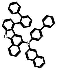 c1ccc(-c2ccc(N(c3ccc4ccccc4c3)c3cc4c(oc5cccc(-c6ccccc6-c6ccccc6)c54)c4ccccc34)cc2)cc1